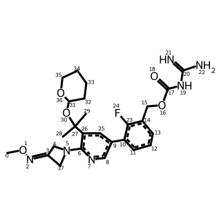 CON=C1CN(c2ncc(-c3cccc(COC(=O)NC(=N)N)c3F)cc2C(C)(C)OC2CCCCO2)C1